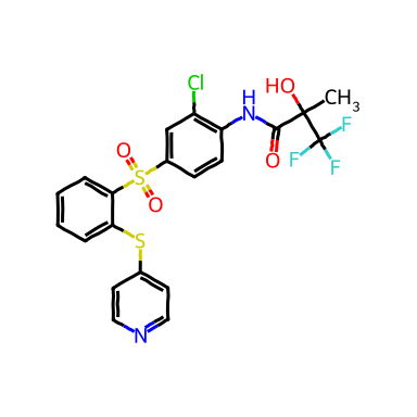 CC(O)(C(=O)Nc1ccc(S(=O)(=O)c2ccccc2Sc2ccncc2)cc1Cl)C(F)(F)F